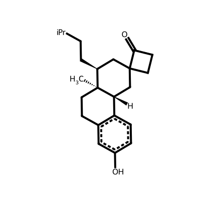 CC(C)CC[C@H]1CC2(CCC2=O)C[C@@H]2c3ccc(O)cc3CC[C@@]12C